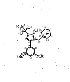 Cc1c(S(N)(=O)=O)cc(-c2cc(C(C)(C)C)cc(C(C)(C)C)c2)n1CC12CCC(CC1)CC2